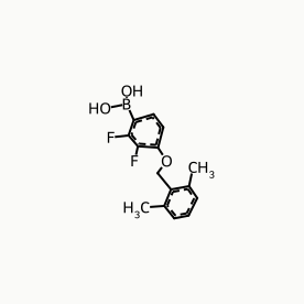 Cc1cccc(C)c1COc1ccc(B(O)O)c(F)c1F